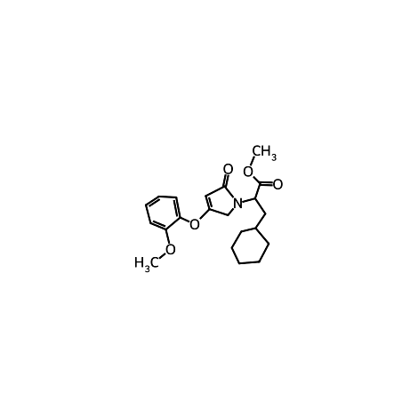 COC(=O)C(CC1CCCCC1)N1CC(Oc2ccccc2OC)=CC1=O